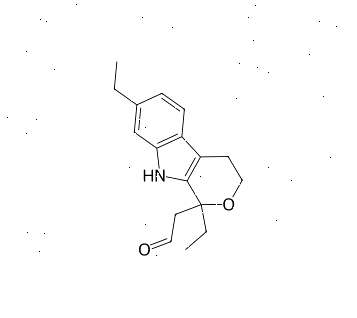 CCc1ccc2c3c([nH]c2c1)C(CC)(CC=O)OCC3